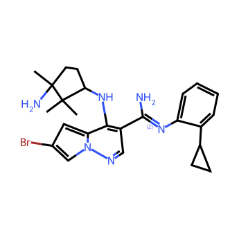 CC1(N)CCC(Nc2c(/C(N)=N/c3ccccc3C3CC3)cnn3cc(Br)cc23)C1(C)C